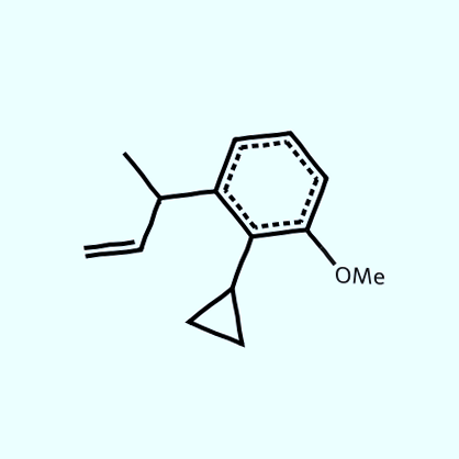 C=C[C](C)c1cccc(OC)c1C1CC1